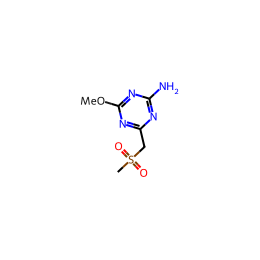 COc1nc(N)nc(CS(C)(=O)=O)n1